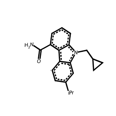 CC(C)c1c[c]c2c3c(C(N)=O)cccc3n(CC3CC3)c2c1